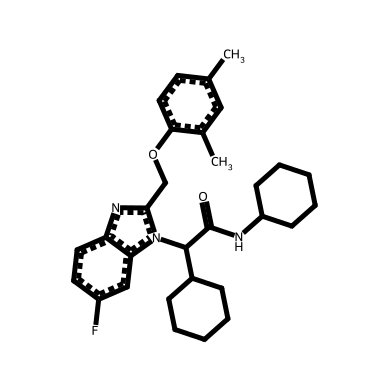 Cc1ccc(OCc2nc3ccc(F)cc3n2C(C(=O)NC2CCCCC2)C2CCCCC2)c(C)c1